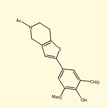 COc1cc(-c2cc3c(s2)CCN(C(C)=O)C3)cc(C=O)c1O